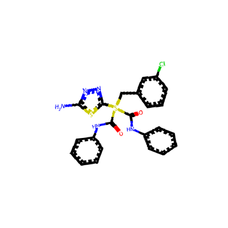 Nc1nnc(S(Cc2cccc(Cl)c2)(C(=O)Nc2ccccc2)C(=O)Nc2ccccc2)s1